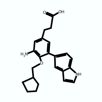 Nc1cc(CCC(=O)O)cc(-c2ccc3[nH]ccc3c2)c1OCC1CCCC1